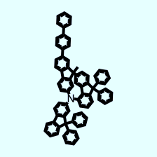 CC1(C)c2cc(-c3ccc(-c4ccccc4)cc3)ccc2-c2ccc(N(c3ccc4c(c3)C(c3ccccc3)(c3ccccc3)c3ccccc3-4)c3cccc4c3-c3ccccc3C4(c3ccccc3)c3ccccc3)cc21